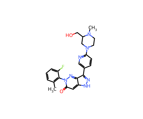 Cc1cccc(F)c1-n1nc2c(-c3ccc(N4CCN(C)C(CO)C4)nc3)n[nH]c2cc1=O